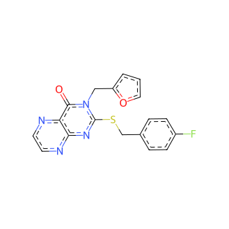 O=c1c2nccnc2nc(SCc2ccc(F)cc2)n1Cc1ccco1